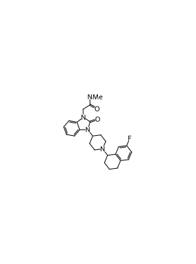 CNC(=O)Cn1c(=O)n(C2CCN(C3CCCc4ccc(F)cc43)CC2)c2ccccc21